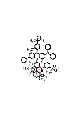 Cc1cc(C(C)(C)C)ccc1N1c2ccc(-c3ccccc3)cc2B2c3cc4c(cc3N(c3ccc(C(C)(C)C)cc3-c3ccc5c(c3)C(C)(C)CCC5(C)C)c3cc(N(c5ccccc5)c5ccccc5)cc1c32)C(C)(C)CCC4(C)C